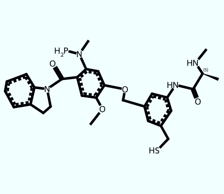 CN[C@@H](C)C(=O)Nc1cc(CS)cc(COc2cc(N(C)P)c(C(=O)N3CCc4ccccc43)cc2OC)c1